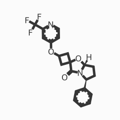 O=C1N2[C@@H](CC[C@H]2c2ccccc2)OC12CC(Oc1ccnc(C(F)(F)F)c1)C2